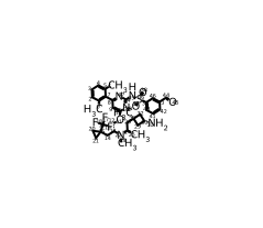 Cc1cccc(C)c1-c1cc(OC[C@@H](CC2(C(F)(F)F)CC2)N(C)C(C)C[C@]2(C)C[C@@H](N)C2)nc(NS(=O)(=O)c2cccc(C=O)c2)n1